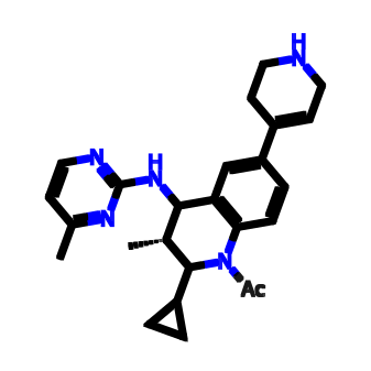 CC(=O)N1c2ccc(C3=CCNCC3)cc2C(Nc2nccc(C)n2)[C@@H](C)C1C1CC1